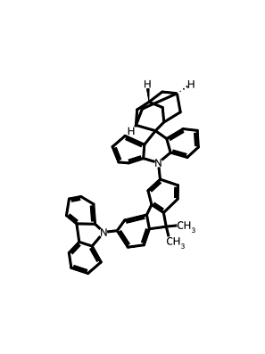 CC1(C)c2ccc(N3c4ccccc4C4(c5ccccc53)C3C[C@H]5C[C@@H](C3)C[C@@H]4C5)cc2-c2cc(-n3c4ccccc4c4ccccc43)ccc21